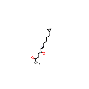 CC(=O)CCC(=O)/C=C/CCCCC1CC1